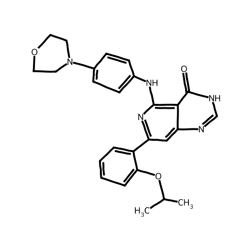 CC(C)Oc1ccccc1-c1cc2nc[nH]c(=O)c2c(Nc2ccc(N3CCOCC3)cc2)n1